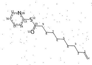 C=CCCCCCCCCC(=O)Sc1ccccn1